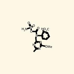 COc1nc(C)nc(CN(C(=O)OS(N)(=O)=O)c2ccccc2C(=O)O)n1